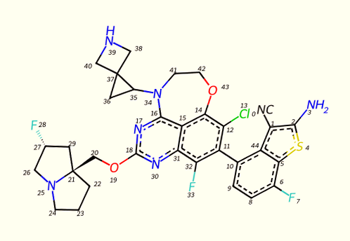 N#Cc1c(N)sc2c(F)ccc(-c3c(Cl)c4c5c(nc(OC[C@@]67CCCN6C[C@H](F)C7)nc5c3F)N(C3CC35CNC5)CCO4)c12